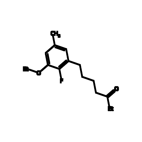 CCOc1cc(C)cc(CCCCC(=O)CC)c1F